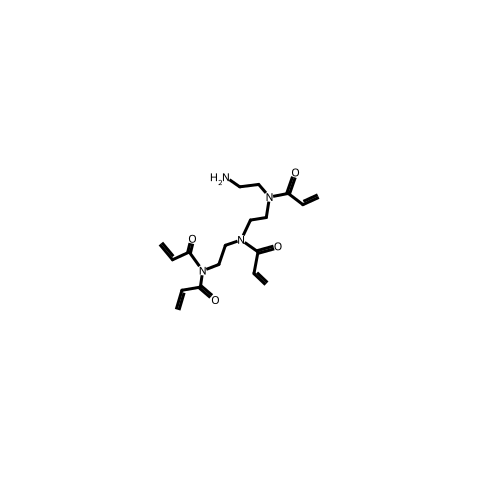 C=CC(=O)N(CCN)CCN(CCN(C(=O)C=C)C(=O)C=C)C(=O)C=C